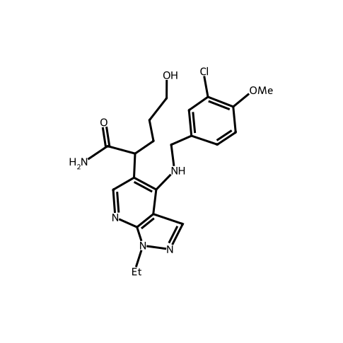 CCn1ncc2c(NCc3ccc(OC)c(Cl)c3)c(C(CCCO)C(N)=O)cnc21